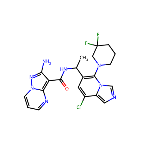 CC(NC(=O)c1c(N)nn2cccnc12)c1cc(Cl)c2cncn2c1N1CCCC(F)(F)C1